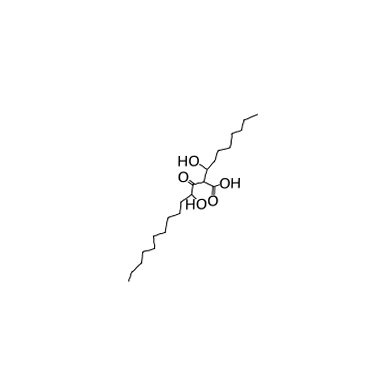 CCCCCCCCCCC(O)C(=O)C(C(=O)O)C(O)CCCCCCC